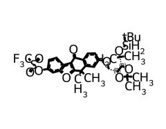 CC1(C)O[C@@H](C(C)(C)O[SiH2]C(C)(C)C)[C@@H](COc2ccc3c(c2)C(C)(C)c2oc4cc(OS(=O)(=O)C(F)(F)F)ccc4c2C3=O)O1